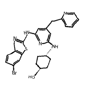 O[C@H]1CC[C@H](Nc2cc(Cc3ccccn3)cc(Nc3nc4ccc(Br)cc4s3)n2)CC1